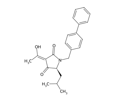 C/C(O)=C1\C(=O)[C@H](CC(C)C)N(Cc2ccc(-c3ccccc3)cc2)C1=O